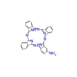 Nc1ccc2c3nc4nc(nc5[nH]c(nc6nc(nc([nH]3)c2c1)-c1ccccc1-6)c1ccccc51)-c1ccccc1-4